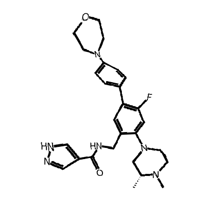 C[C@@H]1CN(c2cc(F)c(-c3ccc(N4CCOCC4)cc3)cc2CNC(=O)c2cn[nH]c2)CCN1C